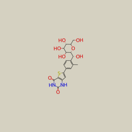 Cc1cc(-c2cc3[nH]c(=O)[nH]c(=O)c3s2)ccc1[C@@H](O)[C@H]1OC(CO)[C@@H](O)C(O)C1O